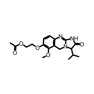 COc1c(OCCOC(C)=O)ccc2c1CN1C(=N2)NC(=O)C1C(C)C